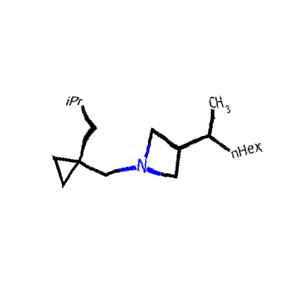 CCCCCCC(C)C1CN(CC2(CC(C)C)CC2)C1